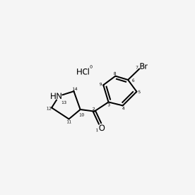 Cl.O=C(c1ccc(Br)cc1)C1CCNC1